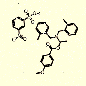 COc1ccc(C(=O)OC(C)N(Cc2ccccc2C)Cc2ccccc2C)cc1.O=[N+]([O-])c1cccc(S(=O)(=O)O)c1